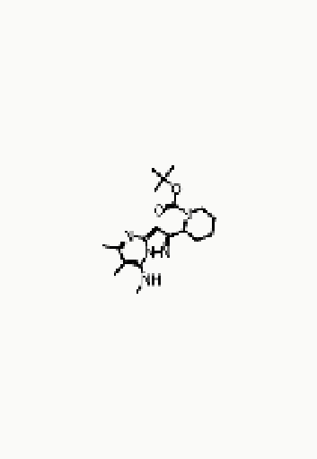 CNc1c(C)c(C)nc2cc(C3CCCCN3C(=O)OC(C)(C)C)nn12